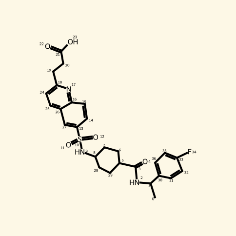 CC(NC(=O)C1CCC(NS(=O)(=O)c2ccc3nc(CCC(=O)O)ccc3c2)CC1)c1ccc(F)cc1